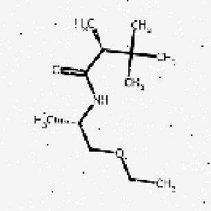 CCOC[C@H](C)NC(=O)[C@@H](C)C(C)(C)C